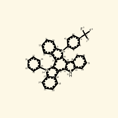 FC(F)(F)c1ccc(-n2c3ccccc3c3c4c(c5ccccc5n4-c4ccccc4)c4[nH]c5ccccc5c4c32)cc1